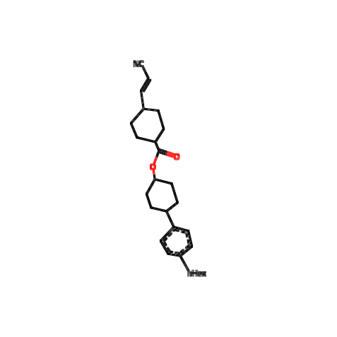 CCCCCCc1ccc(C2CCC(OC(=O)C3CCC(C=CC#N)CC3)CC2)cc1